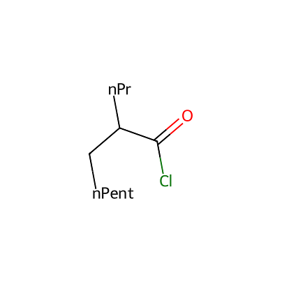 CCCCCCC(CCC)C(=O)Cl